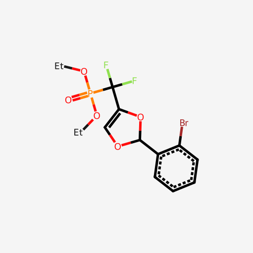 CCOP(=O)(OCC)C(F)(F)C1=COC(c2ccccc2Br)O1